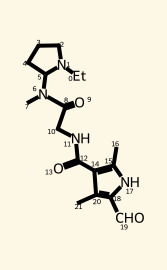 CCN1CCCC1N(C)C(=O)CNC(=O)c1c(C)[nH]c(C=O)c1C